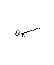 CCCCCCCCCCCC(=O)CCC1OCC(C)C1C